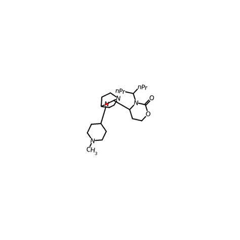 CCCC(CCC)N1C(=O)OCCC1C1CN(C2CCN(C)CC2)C2CCN1CC2